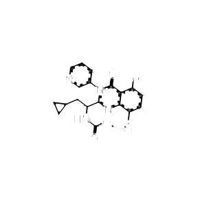 CC(C)(C)OC(=O)NC(CC1CC1)c1nc2c(F)ccc(Cl)c2c(=O)n1-c1cccnc1